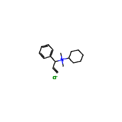 C=CC(c1ccccc1)[N+](C)(C)C1CCCCC1.[Cl-]